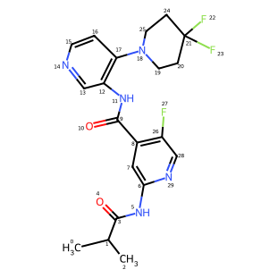 CC(C)C(=O)Nc1cc(C(=O)Nc2cnccc2N2CCC(F)(F)CC2)c(F)cn1